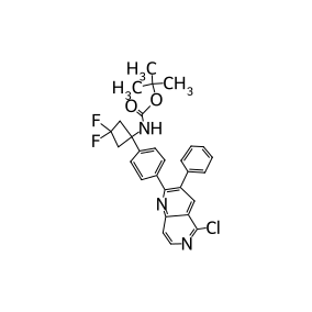 CC(C)(C)OC(=O)NC1(c2ccc(-c3nc4ccnc(Cl)c4cc3-c3ccccc3)cc2)CC(F)(F)C1